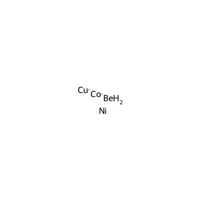 [BeH2].[Co].[Cu].[Ni]